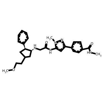 CNC(=O)c1ccc(-c2cc(NC(=O)CN[C@@H]3CC(CCOC)C[C@H]3c3ccccc3)n(C)n2)cc1